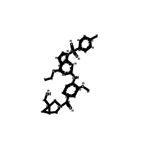 CCOc1nc(Nc2ccc(C(=O)N3CC4CC4(CO)C3)cc2OC)nc2c1ccn2S(=O)(=O)c1ccc(C)cc1